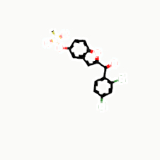 CS(=O)(=O)Oc1ccc2oc(C(=O)c3ccc(Cl)cc3Cl)cc2c1